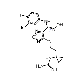 N=C(N)NC1(CCNc2nonc2/C(=N/O)Nc2ccc(F)c(Br)c2)CC1